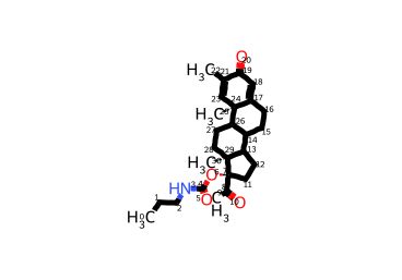 CCCNC(=O)O[C@@]1(C(C)=O)CCC2C3CCC4=CC(=O)C(C)=C[C@]4(C)C3CC[C@@]21C